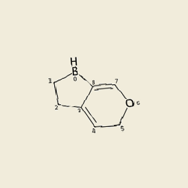 B1CCC2=CCOC=C12